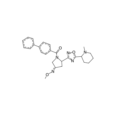 CON=C1CC(c2noc(C3CCCCN3C)n2)N(C(=O)c2ccc(-c3ccccc3)cc2)C1